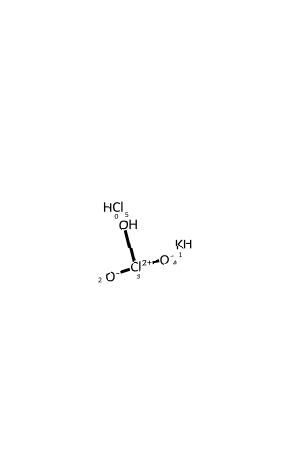 Cl.[KH].[O-][Cl+2]([O-])O